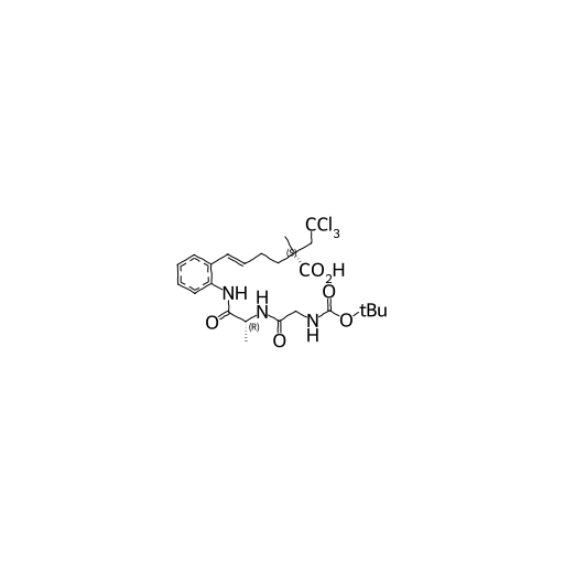 C[C@@H](NC(=O)CNC(=O)OC(C)(C)C)C(=O)Nc1ccccc1C=CCC[C@@](C)(CC(Cl)(Cl)Cl)C(=O)O